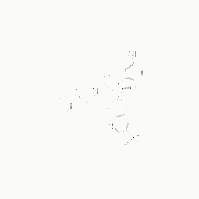 Nc1cccc(C2(C(=O)N3CCc4ncc(C(F)(F)F)cc4C3)CCC(N3CCC(C(=O)O)CC3)C2)c1